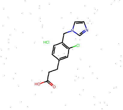 Cl.O=C(O)CCc1ccc(Cn2ccnc2)c(Cl)c1